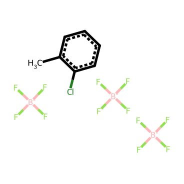 Cc1ccccc1Cl.F[B-](F)(F)F.F[B-](F)(F)F.F[B-](F)(F)F